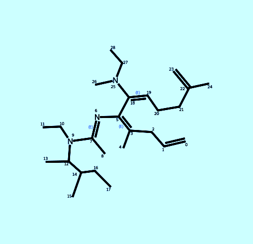 C=CC/C(C)=C(/N=C(\C)N(CC)C(C)C(C)CC)C(=C/CCC(=C)C)\N(C)CC